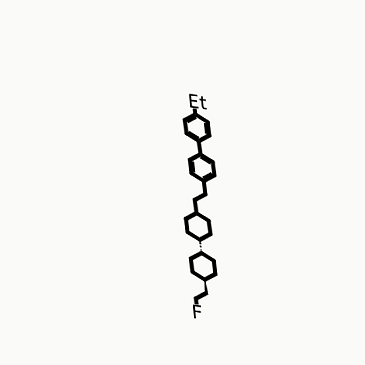 CCc1ccc(-c2ccc(CCC3CCC([C@H]4CC[C@H](CCF)CC4)CC3)cc2)cc1